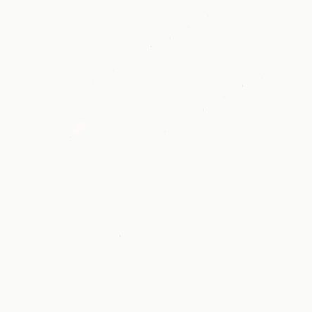 CC(C)=O.CCCCCC.CCCCCC.CCCCCC.CCCCCC.CCCCCC.CCCCCC.CCCCCC.CCCCCC.CCCCCC.CCCCCC